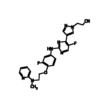 CN(CCOc1ccc(Nc2ncc(F)c(-c3cnn(CCC#N)c3)n2)cc1F)c1ccccn1